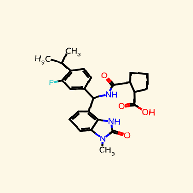 CC(C)c1ccc(C(NC(=O)C2CCCC2C(=O)O)c2cccc3c2[nH]c(=O)n3C)cc1F